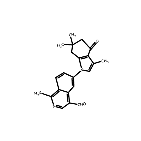 Cc1cn(-c2ccc3c(N)ncc(C=O)c3c2)c2c1C(=O)CC(C)(C)C2